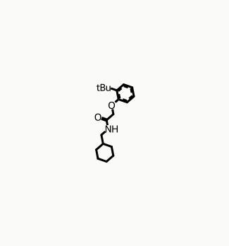 CC(C)(C)c1ccccc1OCC(=O)NCC1CCCCC1